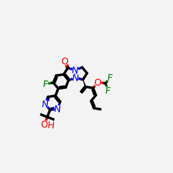 C=C(/C(=C\C=C/C)OC(F)F)[C@@H]1CCn2c(=O)c3cc(F)c(-c4cnc(C(C)(C)O)nc4)cc3n21